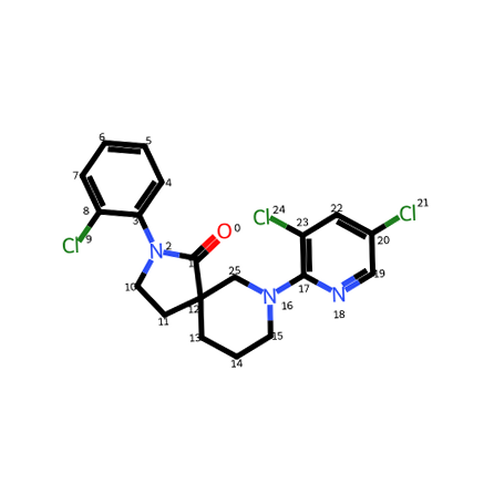 O=C1N(c2ccccc2Cl)CCC12CCCN(c1ncc(Cl)cc1Cl)C2